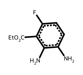 CCOC(=O)c1c(F)ccc(N)c1N